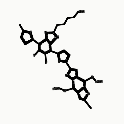 CCCCCCCCCCCCCCn1nc2c(-c3ccc(C)s3)c(F)c(F)c(-c3ccc(-c4cc5c(OCCCCCCCCCC)c6sc(C)cc6c(OCCCCCCCCCC)c5s4)s3)c2n1